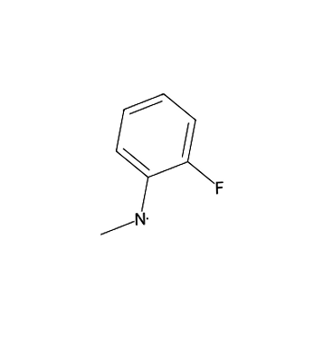 C[N]c1ccccc1F